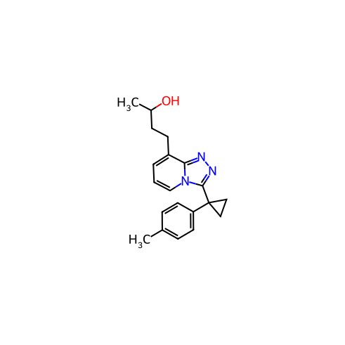 Cc1ccc(C2(c3nnc4c(CCC(C)O)cccn34)CC2)cc1